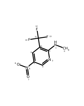 CNc1ncc([N+](=O)[O-])cc1C(F)(F)F